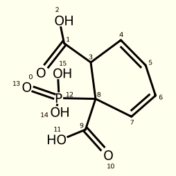 O=C(O)C1C=CC=CC1(C(=O)O)P(=O)(O)O